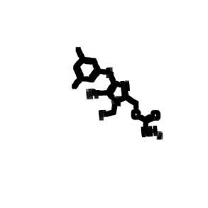 Cc1cc(C)cc(Sc2nc(COC(N)=O)n(CF)c2C(C)C)c1